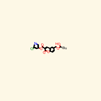 CC(C)(C)C(O)OCc1ccc2oc(=O)c(C(=O)Oc3cncc(Cl)c3)cc2c1